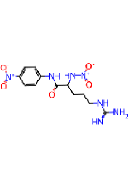 N=C(N)NCCCC(N[N+](=O)[O-])C(=O)Nc1ccc([N+](=O)[O-])cc1